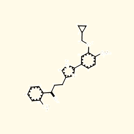 COc1ccc(-c2nc(CCC(=O)c3ccccc3O)co2)cc1OCC1CC1